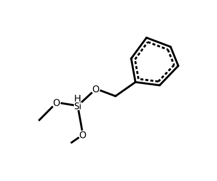 CO[SiH](OC)OCc1ccccc1